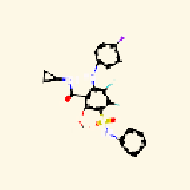 COc1c(C(=O)NC2CC2)c(Nc2ccc(I)cc2)c(F)c(F)c1S(=O)(=O)Nc1ccccc1